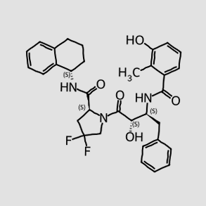 Cc1c(O)cccc1C(=O)N[C@@H](Cc1ccccc1)[C@H](O)C(=O)N1CC(F)(F)C[C@H]1C(=O)N[C@H]1CCCc2ccccc21